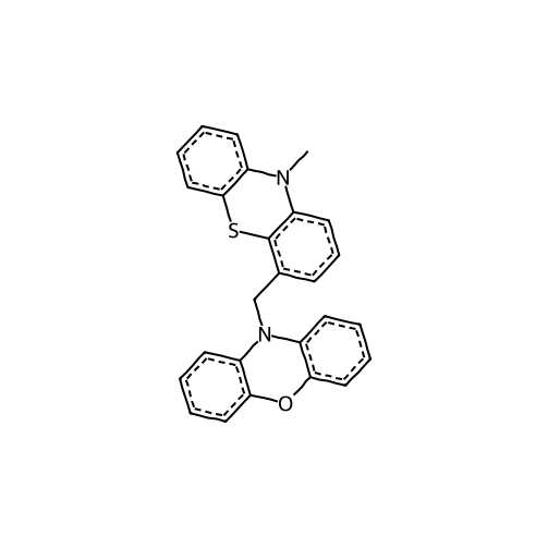 CN1c2ccccc2Sc2c(CN3c4ccccc4Oc4ccccc43)cccc21